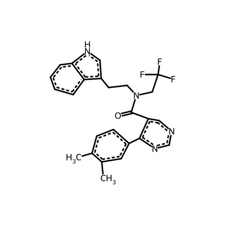 Cc1ccc(-c2ncncc2C(=O)N(CCc2c[nH]c3ccccc23)CC(F)(F)F)cc1C